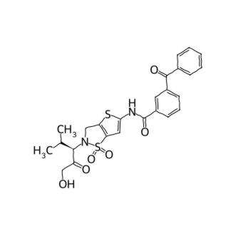 CC(C)[C@H](C(=O)CO)N1Cc2sc(NC(=O)c3cccc(C(=O)c4ccccc4)c3)cc2S1(=O)=O